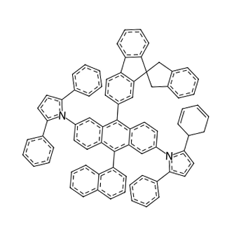 C1=CCC(c2ccc(-c3ccccc3)n2-c2ccc3c(-c4ccc5c(c4)C4(Cc6ccccc6C4)c4ccccc4-5)c4cc(-n5c(-c6ccccc6)ccc5-c5ccccc5)ccc4c(-c4cccc5ccccc45)c3c2)C=C1